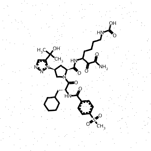 CC(C)(O)c1cnnn1[C@H]1C[C@@H](C(=O)NC(CCCCNC(=O)O)C(=O)C(N)=O)N(C(=O)[C@@H](CC2CCCCC2)NC(=O)c2ccc(S(C)(=O)=O)cc2)C1